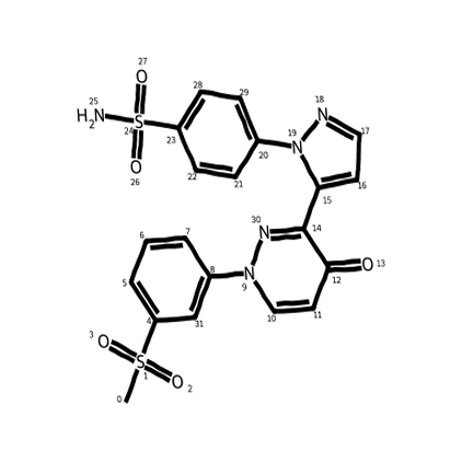 CS(=O)(=O)c1cccc(-n2ccc(=O)c(-c3ccnn3-c3ccc(S(N)(=O)=O)cc3)n2)c1